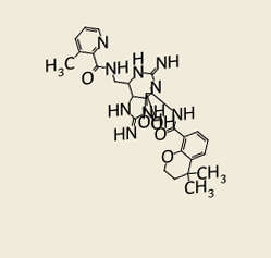 Cc1cccnc1C(=O)NCC1NC(=N)N2CC(NC(=O)c3cccc4c3OCCC4(C)C)C(O)(O)C23NC(=N)NC13